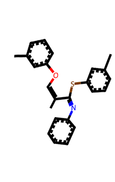 CC(=COc1cccc(C)c1)C(=Nc1ccccc1)Sc1cccc(C)c1